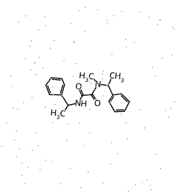 CC(NC(=O)C(=O)N(C)C(C)c1ccccc1)c1ccccc1